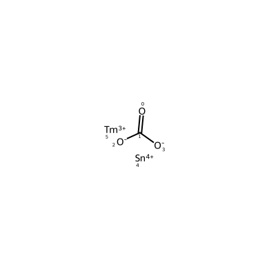 O=C([O-])[O-].[Sn+4].[Tm+3]